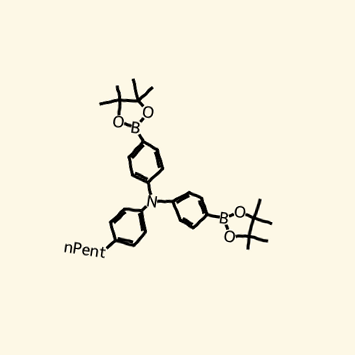 CCCCCc1ccc(N(c2ccc(B3OC(C)(C)C(C)(C)O3)cc2)c2ccc(B3OC(C)(C)C(C)(C)O3)cc2)cc1